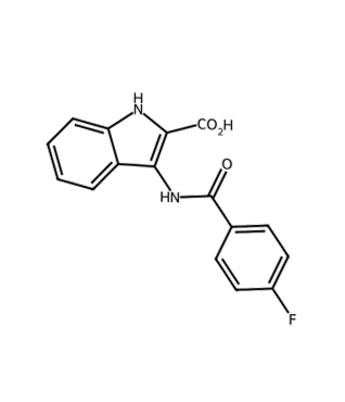 O=C(Nc1c(C(=O)O)[nH]c2ccccc12)c1ccc(F)cc1